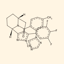 Cc1ccc(C(=O)N2[C@@H]3CCC[C@H]2c2nn(C)c(-c4cc(F)c(F)c(F)c4)c2C3)c(-n2cncn2)c1